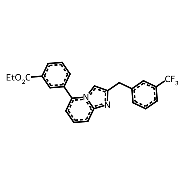 CCOC(=O)c1cccc(-c2cccc3nc(Cc4cccc(C(F)(F)F)c4)cn23)c1